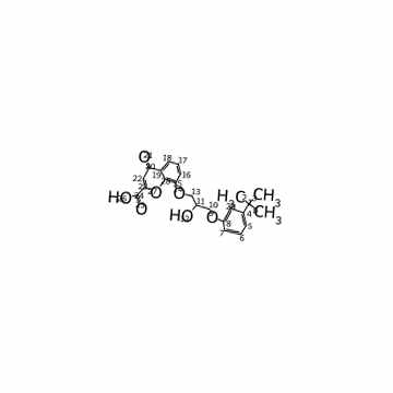 CC(C)(C)c1cccc(OCC(O)COc2cccc3c(=O)cc(C(=O)O)oc23)c1